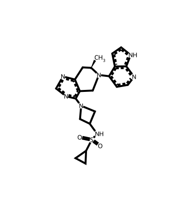 C[C@@H]1Cc2ncnc(N3CC(NS(=O)(=O)C4CC4)C3)c2CN1c1ccnc2[nH]ccc12